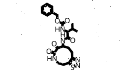 CC(C)C(NC(=O)OCc1ccccc1)C(=O)NC1CCc2nnsc2CCNC(=O)C1=O